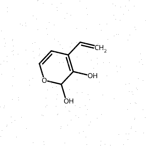 C=CC1=C(O)C(O)OC=C1